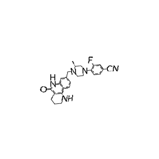 C[C@H]1CN(c2ccc(C#N)cc2F)CCN1Cc1ccc2c3c(c(=O)[nH]c2c1)CCCN3